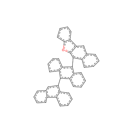 c1ccc2c(-c3c4ccccc4c(-c4cc5ccccc5c5ccccc45)c4ccccc34)c3oc4ccccc4c3cc2c1